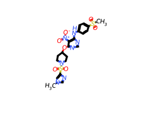 Cn1cnc(S(=O)(=O)N2CCC(Oc3ncnc(Nc4ccc(S(C)(=O)=O)cc4)c3[N+](=O)[O-])CC2)c1